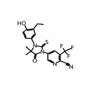 CCc1cc(N2C(=S)N(c3cnc(C#N)c(C(F)(F)F)c3)C(=O)C2(C)C)ccc1O